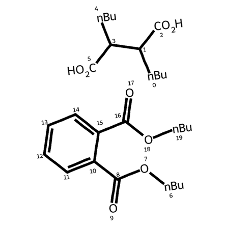 CCCCC(C(=O)O)C(CCCC)C(=O)O.CCCCOC(=O)c1ccccc1C(=O)OCCCC